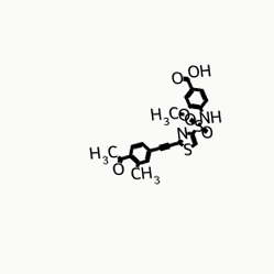 COc1cc(C(=O)O)ccc1NS(=O)(=O)c1csc(C#Cc2ccc(C(C)=O)c(C)c2)n1